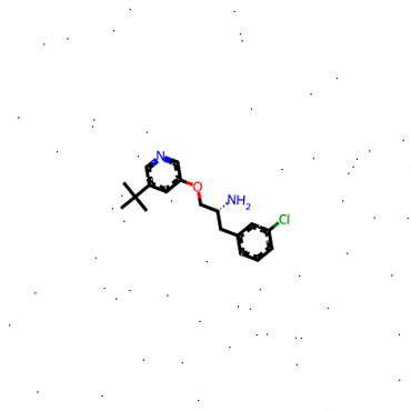 CC(C)(C)c1cncc(OC[C@H](N)Cc2cccc(Cl)c2)c1